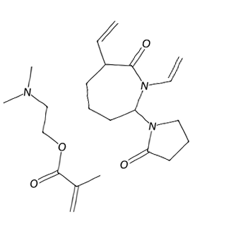 C=C(C)C(=O)OCCN(C)C.C=CC1CCCC(N2CCCC2=O)N(C=C)C1=O